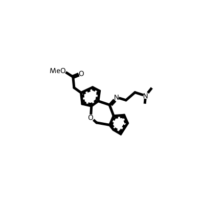 COC(=O)Cc1ccc2c(c1)OCc1ccccc1/C2=N\CCN(C)C